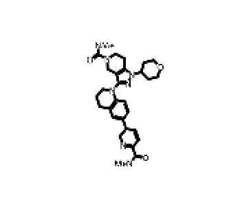 CNC(=O)C1=NCC(c2ccc3c(c2)CCCN3c2nn(C3CCOCC3)c3c2CN(C(=O)NC)CC3)C=C1